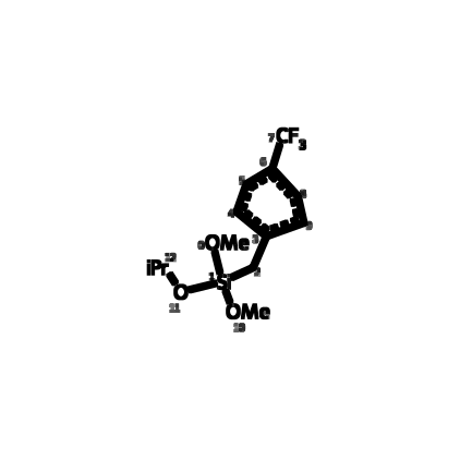 CO[Si](Cc1ccc(C(F)(F)F)cc1)(OC)OC(C)C